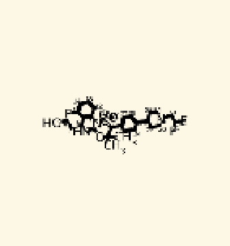 CC1(C)OC(N[C@@H](CCO)c2ccccc2F)=NS(=O)(=O)C1c1ccc(C2CCN(CC(F)F)CC2)cc1